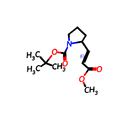 COC(=O)/C=C/C1CCCN1C(=O)OC(C)(C)C